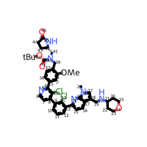 COc1cc(-c2nccc(-c3cccc(-c4ccc5c(CNC6CCOCC6)cn(C)c5n4)c3Cl)c2Cl)ccc1CN(C[C@@H]1CCC(=O)N1)C(=O)OC(C)(C)C